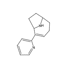 C1=C(c2ccccn2)C2CCC(CC1)N2